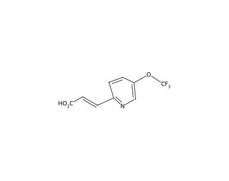 O=C(O)C=Cc1ccc(OC(F)(F)F)cn1